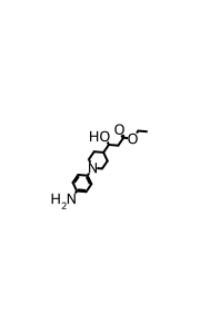 CCOC(=O)CC(O)C1CCN(c2ccc(N)cc2)CC1